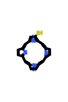 Sc1cc2cc3nc(cc4ccc(cc5nc(cc1[nH]2)C=C5)[nH]4)C=C3